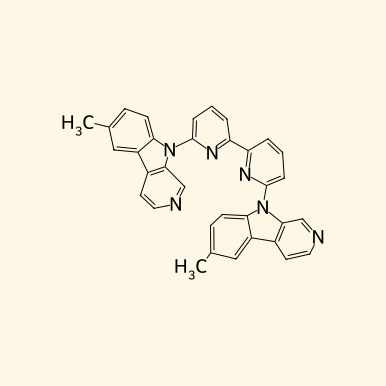 Cc1ccc2c(c1)c1ccncc1n2-c1cccc(-c2cccc(-n3c4ccc(C)cc4c4ccncc43)n2)n1